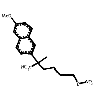 COc1ccc2cc(C(C)(CCCCO[N+](=O)[O-])C(=O)O)ccc2c1